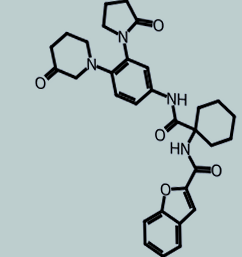 O=C1CCCN(c2ccc(NC(=O)C3(NC(=O)c4cc5ccccc5o4)CCCCC3)cc2N2CCCC2=O)C1